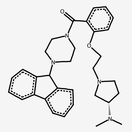 CN(C)[C@H]1CCN(CCOc2ccccc2C(=O)N2CCN(C3c4ccccc4-c4ccccc43)CC2)C1